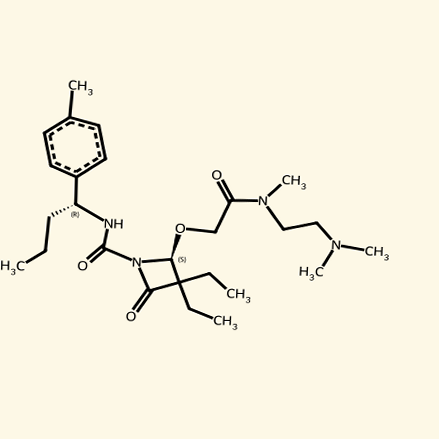 CCC[C@@H](NC(=O)N1C(=O)C(CC)(CC)[C@@H]1OCC(=O)N(C)CCN(C)C)c1ccc(C)cc1